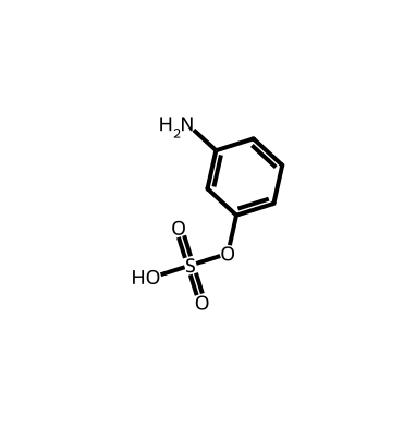 Nc1cccc(OS(=O)(=O)O)c1